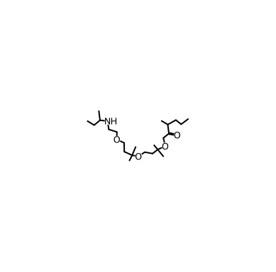 CCCC(C)C(=O)COC(C)(C)CCOC(C)(C)CCOCCNC(C)CC